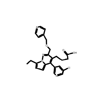 CCc1ccc2c(-c3cncc(Cl)c3)c(CCCC(=O)O)c(COCc3ccncc3)nn12